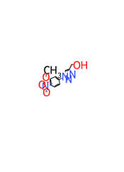 COc1cc(-n2cc(CO)nn2)ccc1[N+](=O)[O-]